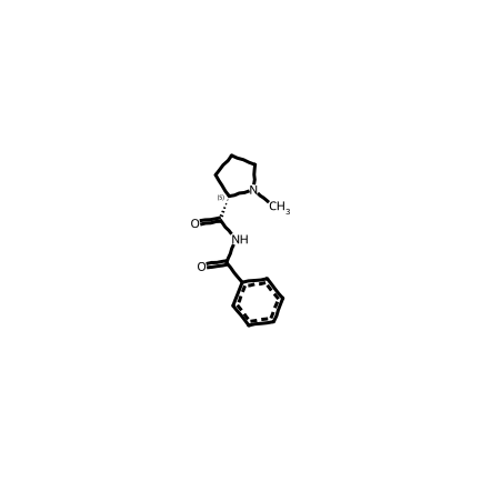 CN1CCC[C@H]1C(=O)NC(=O)c1ccccc1